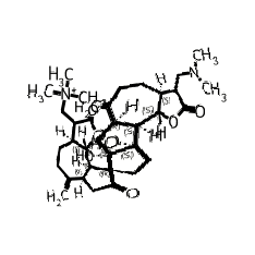 C=C1CC[C@H]2C(CN(C)C)C(=O)O[C@@H]2[C@@H]2[C@H]1C[C@@]1(O)[C@]2(O)CC[C@]12C(=O)C[C@H]1C(=C)CC[C@H]3C(C[N+](C)(C)C)C(=O)O[C@@H]3[C@H]12